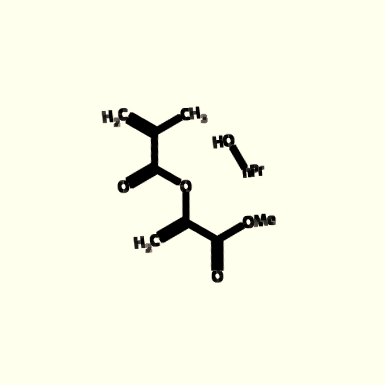 C=C(C)C(=O)OC(=C)C(=O)OC.CCCO